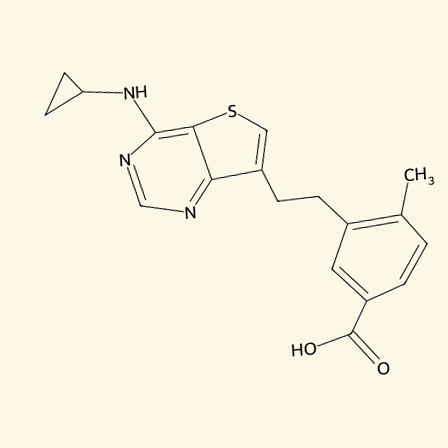 Cc1ccc(C(=O)O)cc1CCc1csc2c(NC3CC3)ncnc12